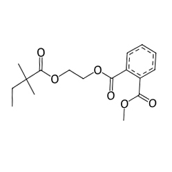 CCC(C)(C)C(=O)OCCOC(=O)c1ccccc1C(=O)OC